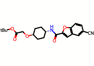 CC(C)(C)OC(=O)CO[C@H]1CC[C@H](NC(=O)c2cc3cc(C#N)ccc3o2)CC1